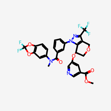 COC(=O)c1cncc(OC2COCc3c(C(F)(F)F)nn(-c4cccc(C(=O)N(C)c5ccc6c(c5)OC(F)(F)O6)c4)c32)c1